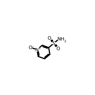 NS(=O)(=O)c1ccc[n+]([O-])c1